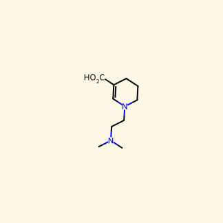 CN(C)CCN1C=C(C(=O)O)CCC1